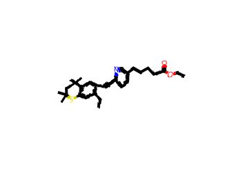 CCOC(=O)CCCCc1ccc(C#Cc2cc3c(cc2CC)SC(C)(C)CC3(C)C)nc1